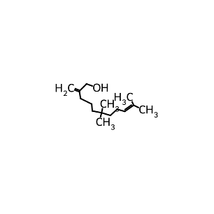 C=C(CO)CCCC(C)(C)CCC=C(C)C